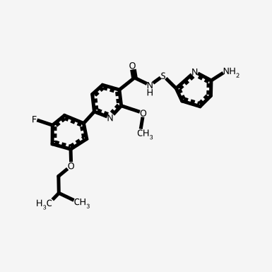 COc1nc(-c2cc(F)cc(OCC(C)C)c2)ccc1C(=O)NSc1cccc(N)n1